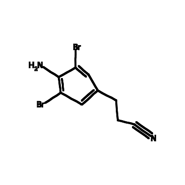 N#CCCc1cc(Br)c(N)c(Br)c1